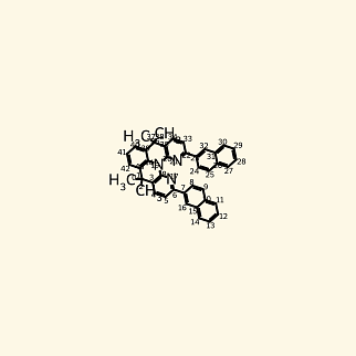 CC1(C)c2ccc(-c3ccc4ccccc4c3)nc2N2c3nc(-c4ccc5ccccc5c4)ccc3C(C)(C)c3cccc1c32